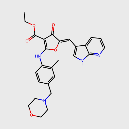 CCOC(=O)C1=C(Nc2ccc(CN3CCOCC3)cc2C)OC(=Cc2c[nH]c3ncccc23)C1=O